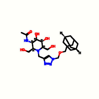 CC(=O)N[C@@H]1[C@@H](O)[C@H](O)[C@@H](CO)N(Cc2cn(COCC34CC5C[C@H](C3)C[C@H](C5)C4)nn2)[C@H]1CO